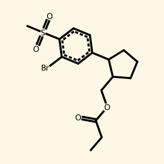 CCC(=O)OCC1CCCC1c1ccc(S(C)(=O)=O)c(Br)c1